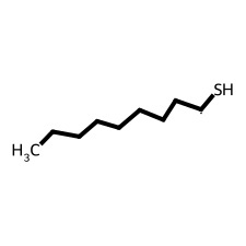 CCCCCCCC[CH]S